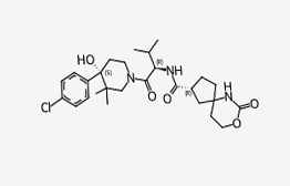 CC(C)[C@@H](NC(=O)[C@@H]1CCC2(CCOC(=O)N2)C1)C(=O)N1CC[C@](O)(c2ccc(Cl)cc2)C(C)(C)C1